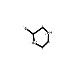 [S]C1CNCCN1